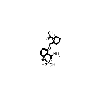 CC(=O)N1CCCCC1COc1cccc2c1C(N)=NS(O)(O)N2